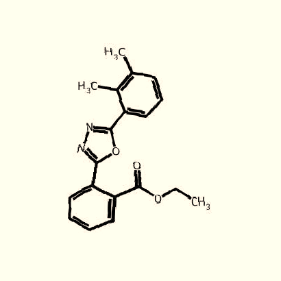 CCOC(=O)c1ccccc1-c1nnc(-c2cccc(C)c2C)o1